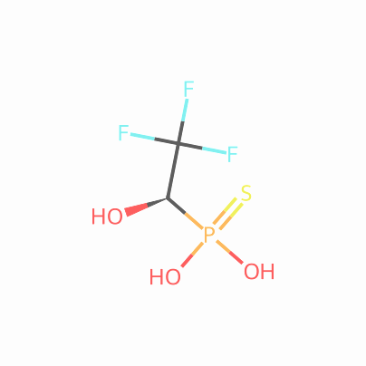 O[C@@H](C(F)(F)F)P(O)(O)=S